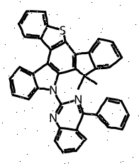 CC1(C)c2ccccc2-c2c1c1c(c3ccccc3n1-c1nc(-c3ccccc3)c3ccccc3n1)c1c2sc2ccccc21